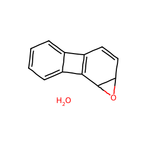 C1=CC2OC2C2=C1c1ccccc12.O